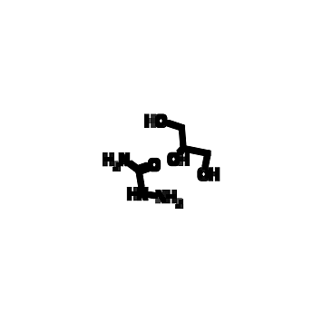 NNC(N)=O.OCC(O)CO